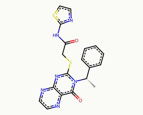 C[C@@H](c1ccccc1)n1c(SCC(=O)Nc2nccs2)nc2nccnc2c1=O